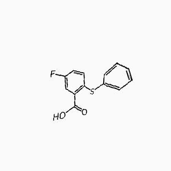 O=C(O)c1cc(F)ccc1Sc1ccccc1